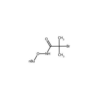 CCCCONC(=O)C(C)(C)Br